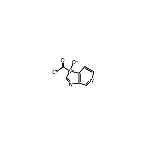 O=C(Cl)[N+]1([O-])C=Nc2cnccc21